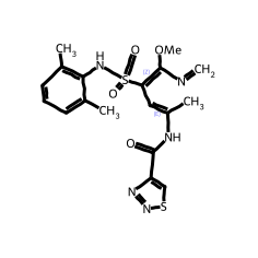 C=N/C(OC)=C(\C=C(/C)NC(=O)c1csnn1)S(=O)(=O)Nc1c(C)cccc1C